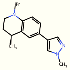 CC(C)N1CC[C@H](C)c2cc(-c3cnn(C)c3)ccc21